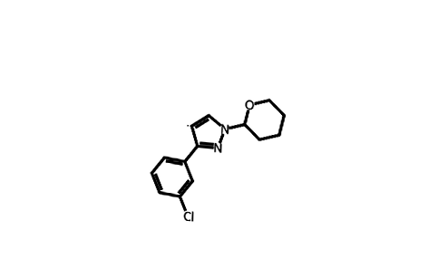 Clc1cccc(-c2[c]cn(C3CCCCO3)n2)c1